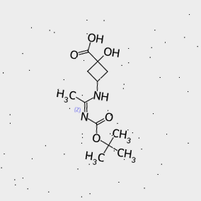 C/C(=N/C(=O)OC(C)(C)C)NC1CC(O)(C(=O)O)C1